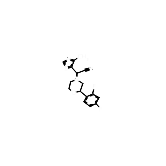 Cc1ncsc1C(C#N)N1CCOC(c2ccc(F)cc2F)C1